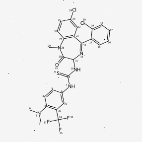 CN(C)c1ccc(NC(=S)NC2N=C(c3ccccc3Cl)c3cc(Cl)ccc3N(C)C2=O)cc1C(F)(F)F